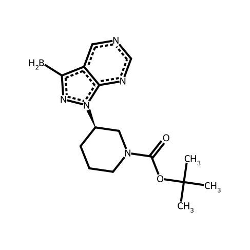 Bc1nn([C@@H]2CCCN(C(=O)OC(C)(C)C)C2)c2ncncc12